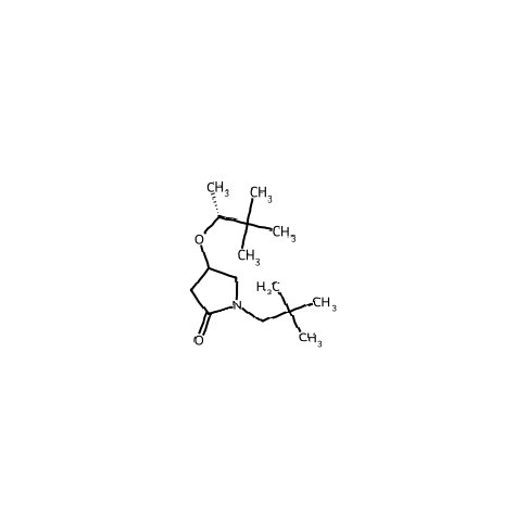 C[C@@H](OC1CC(=O)N(CC(C)(C)C)C1)C(C)(C)C